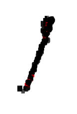 COCCOCCOCCOCCOCCOCCOCCOCCOCCOCCOCC(=O)OC[C@@H]1CN(c2ccc3cc(-c4ccccc4C(F)(F)F)[nH]c(=O)c3c2)C(=O)O1